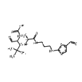 C[C@H](N[C@@H](C(C=O)NC(=O)O)C(C)(C)C)C(=O)NCCCNc1ncc(C=O)s1